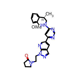 COc1ccccc1[C@H](C)CNc1cc(-c2cnc3c(cnn3CCN3CCCC3=O)c2)ncn1